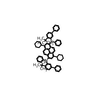 CC(C)(C)c1ccc(-c2ccccc2)cc1N(c1ccccc1)c1cc(C2CCCCC2)c2ccc3c(N(c4ccccc4)c4cc(-c5ccccc5)ccc4C(C)(C)C)cc(C4CCCCC4)c4ccc1c2c43